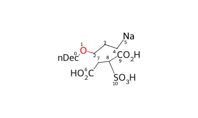 CCCCCCCCCCOCC[CH2][Na].O=C(O)CC(C(=O)O)S(=O)(=O)O